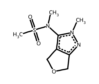 CN(c1c2c(nn1C)COC2)S(C)(=O)=O